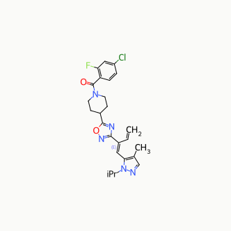 C=C/C(=C\c1c(C)cnn1C(C)C)c1noc(C2CCN(C(=O)c3ccc(Cl)cc3F)CC2)n1